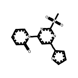 CS(=O)(=O)c1nc(-c2cccs2)cc(-n2ccccc2=O)n1